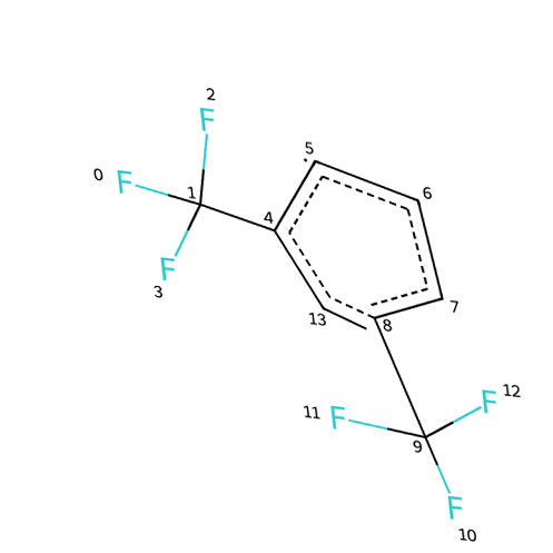 FC(F)(F)c1[c]ccc(C(F)(F)F)c1